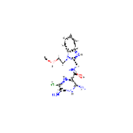 COCCn1c(CNC(=O)c2nc(Cl)c(N)nc2N)nc2ccccc21